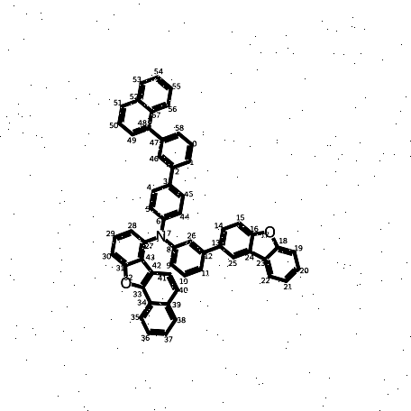 c1cc(-c2ccc(N(c3cccc(-c4ccc5oc6ccccc6c5c4)c3)c3cccc4oc5c6ccccc6ccc5c34)cc2)cc(-c2cccc3ccccc23)c1